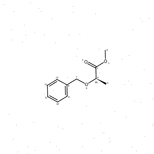 COC(=O)[C@@H](C)OCc1ccccc1